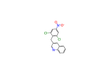 O=[N+]([O-])c1cc(Cl)c(Cc2cnc3ccccc3c2)c(Cl)c1